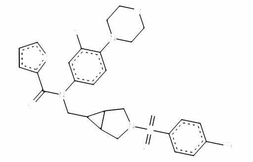 CC(C)c1ccc(S(=O)(=O)N2CC3C(CN(C(=O)c4cccs4)c4ccc(N5CCOCC5)c(F)c4)C3C2)cc1